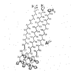 CCCCCCCCCCCCCCCCC=CCC(=O)CC(=O)[O-].CCCCCCCCCCCCCCCCC=CCC(=O)CC(=O)[O-].CCCCCCCCCCCCCCCCC=CCC(=O)CC(=O)[O-].[Al+3]